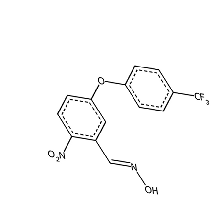 O=[N+]([O-])c1ccc(Oc2ccc(C(F)(F)F)cc2)cc1C=NO